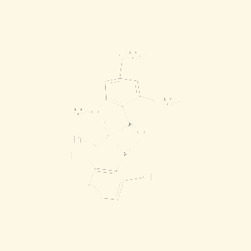 COc1cc(OC)c(C(=O)P(=O)(CC(C)C)C(=O)c2c(C(F)(F)F)cccc2C(F)(F)F)c(OC)c1